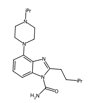 CC(C)CCc1nc2c(N3CCN(C(C)C)CC3)cccc2n1C(N)=O